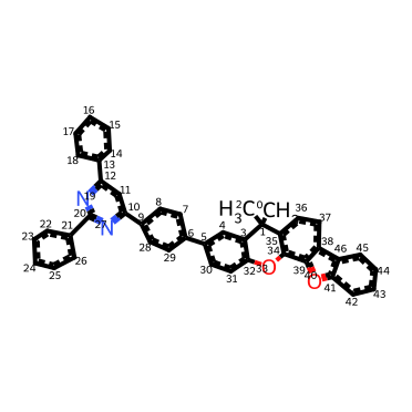 CC1(C)c2cc(-c3ccc(-c4cc(-c5ccccc5)nc(-c5ccccc5)n4)cc3)ccc2Oc2c1ccc1c2oc2ccccc21